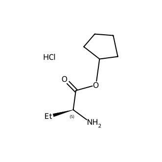 CC[C@H](N)C(=O)OC1CCCC1.Cl